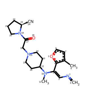 C=N/C=C(\c1occc1C)N(C)C1CCN(CC(=O)N2CCC[C@H]2C#N)CC1